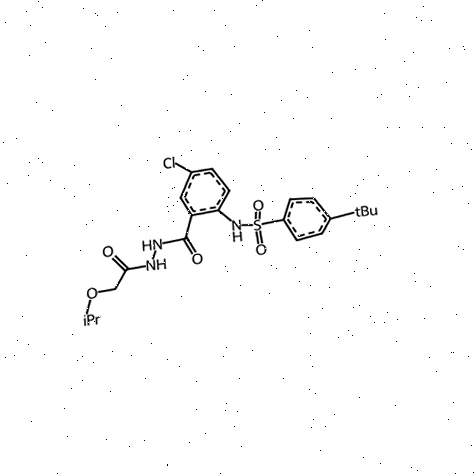 CC(C)OCC(=O)NNC(=O)c1cc(Cl)ccc1NS(=O)(=O)c1ccc(C(C)(C)C)cc1